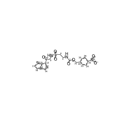 O=C(NCCS(=O)(=O)NCC(=O)c1ncn2ccsc12)OCc1ccc([N+](=O)[O-])cc1